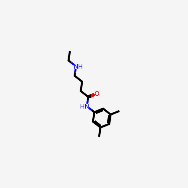 CCNCCCC(=O)Nc1cc(C)cc(C)c1